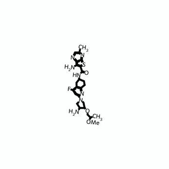 COC(C)COC1CN(c2cc(F)c3c(n2)CCC(NC(=O)c2sc4nc(C)cnc4c2N)C3)CC1N